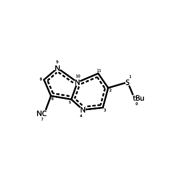 CC(C)(C)Sc1cnc2c(C#N)cnn2c1